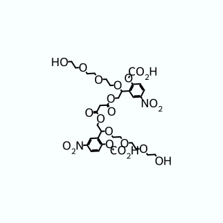 O=C(O)Oc1ccc([N+](=O)[O-])cc1C(COC(=O)CC(=O)OCC(OCCOCCOCCO)c1cc([N+](=O)[O-])ccc1OC(=O)O)OCCOCCOCCO